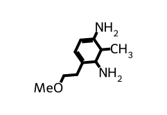 COCCC1=CC=C(N)C(C)C1N